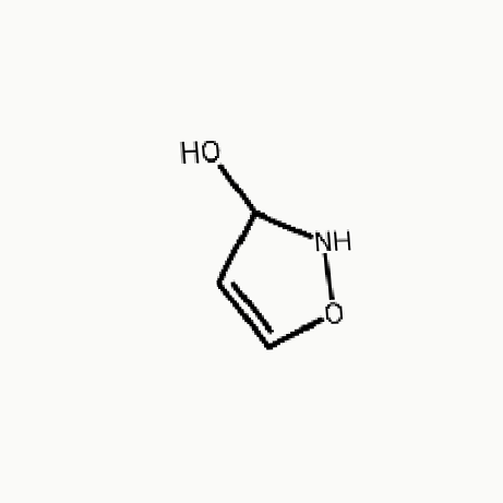 OC1C=CON1